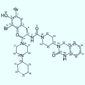 O=C(N[C@H](Cc1cc(Br)c(O)c(Br)c1)C(=O)N1CCN(C2CCCCC2)CC1)N1CCC(N2Cc3ccccc3NC2=O)CC1